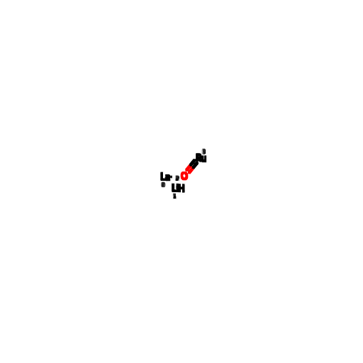 [La].[LiH].[O]=[Ru]